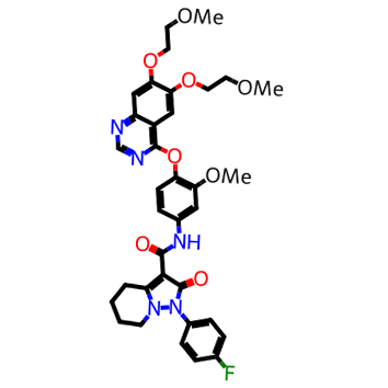 COCCOc1cc2ncnc(Oc3ccc(NC(=O)c4c5n(n(-c6ccc(F)cc6)c4=O)CCCC5)cc3OC)c2cc1OCCOC